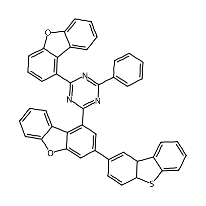 C1=CC2Sc3ccccc3C2C=C1c1cc(-c2nc(-c3ccccc3)nc(-c3cccc4oc5ccccc5c34)n2)c2c(c1)oc1ccccc12